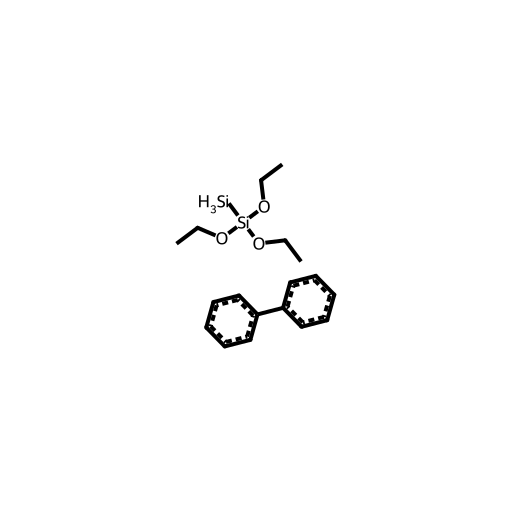 CCO[Si]([SiH3])(OCC)OCC.c1ccc(-c2ccccc2)cc1